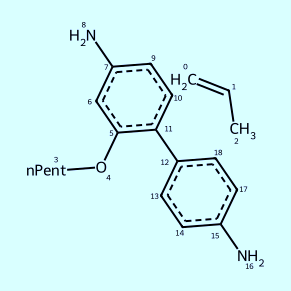 C=CC.CCCCCOc1cc(N)ccc1-c1ccc(N)cc1